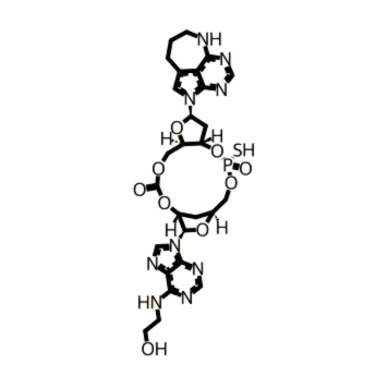 O=C1OC[C@H]2O[C@@H](n3cc4c5c(ncnc53)NCCC4)C[C@@H]2OP(=O)(S)OC[C@@H]2C[C@@H](O1)[C@H](n1cnc3c(NCCO)ncnc31)O2